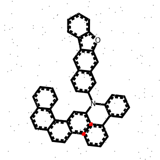 c1ccc(-c2ccccc2N(c2ccc3cc4c(cc3c2)oc2ccccc24)c2ccc3ccc4ccc5ccccc5c4c3c2)cc1